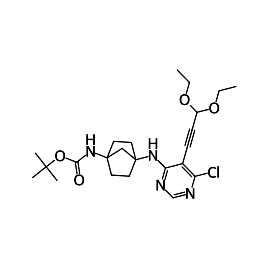 CCOC(C#Cc1c(Cl)ncnc1NC12CCC(NC(=O)OC(C)(C)C)(CC1)C2)OCC